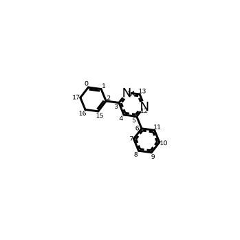 C1=CC(c2cc(-c3ccccc3)ncn2)=CCC1